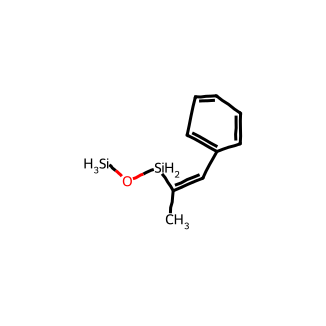 CC(=Cc1ccccc1)[SiH2]O[SiH3]